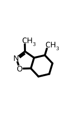 CC1=NOC2CCCC(C)C12